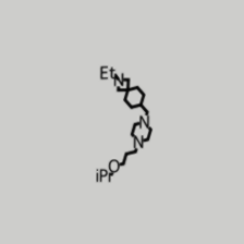 CCN1CC2(CCC(CN3CCN(CCCOC(C)C)CC3)CC2)C1